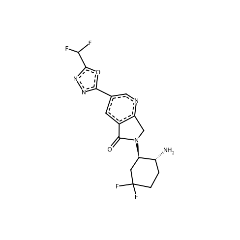 N[C@@H]1CCC(F)(F)C[C@H]1N1Cc2ncc(-c3nnc(C(F)F)o3)cc2C1=O